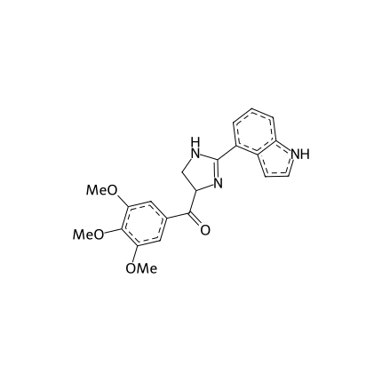 COc1cc(C(=O)C2CNC(c3cccc4[nH]ccc34)=N2)cc(OC)c1OC